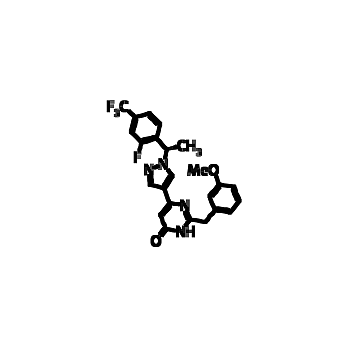 COc1cccc(Cc2nc(-c3cnn([C@H](C)c4ccc(C(F)(F)F)cc4F)c3)cc(=O)[nH]2)c1